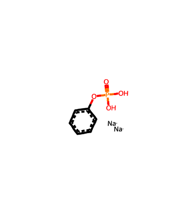 O=P(O)(O)Oc1ccccc1.[Na].[Na]